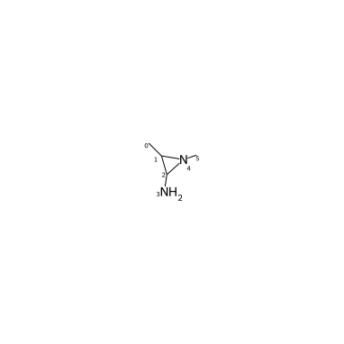 CC1C(N)N1C